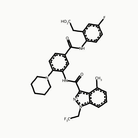 Cc1cccc2c1c(C(=O)Nc1cc(C(=O)Nc3ccc(F)cc3CC(=O)O)ccc1N1CCCCC1)nn2CC(F)(F)F